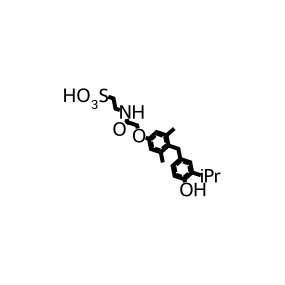 Cc1cc(OCC(=O)NCCS(=O)(=O)O)cc(C)c1Cc1ccc(O)c(C(C)C)c1